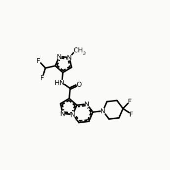 Cn1cc(NC(=O)c2cnn3ccc(N4CCC(F)(F)CC4)nc23)c(C(F)F)n1